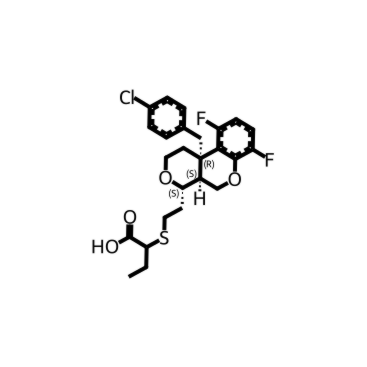 CCC(SCC[C@@H]1OCC[C@@]2(Cc3ccc(Cl)cc3)c3c(F)ccc(F)c3OC[C@@H]12)C(=O)O